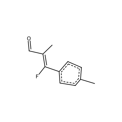 C/C(C=O)=C(/F)c1ccc(C)cc1